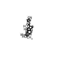 COC[C@]12CC[C@@](C)(O)C[C@H]1CC[C@@H]1[C@@H]2CC[C@]2(C)C(C(=O)Cn3ccc(C#N)n3)C3CC3[C@@]12C